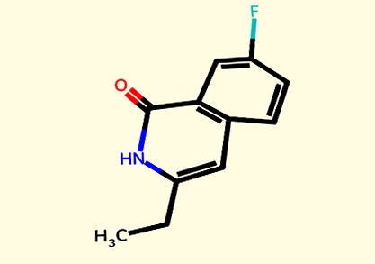 CCc1cc2ccc(F)cc2c(=O)[nH]1